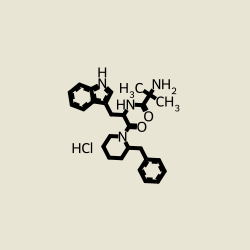 CC(C)(N)C(=O)NC(Cc1c[nH]c2ccccc12)C(=O)N1CCCCC1Cc1ccccc1.Cl